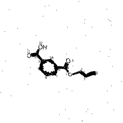 C=CCOC(=O)c1cccc(C(=O)O)c1